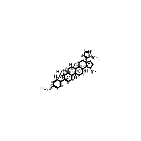 CC(C)[C@@H]1CC[C@]2(c3ncnn3C)CC[C@]3(C)[C@H](CC[C@@H]4[C@@]5(C)CC=C(c6ccc(C(=O)O)cc6)C(C)(C)[C@@H]5CC[C@]43C)[C@@H]12